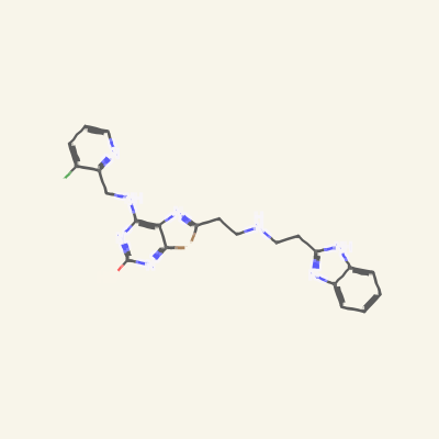 Oc1nc(NCc2ncccc2F)c2nc(CCNCCc3nc4ccccc4[nH]3)sc2n1